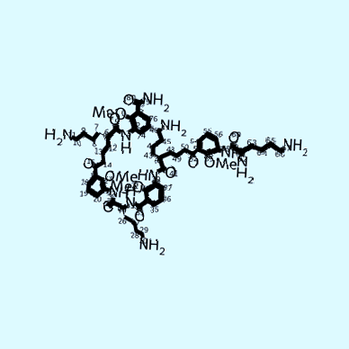 COc1c(NC(=O)[C@@H](CCCCN)CCCC(=O)c2cccc(NC(=O)[C@@H](CCCCN)NC(=O)c3cccc(NC(=O)[C@@H](CCCCN)CCCC(=O)c4cccc(NC(=O)[C@H](N)CCCCN)c4OC)c3OC)c2OC)cccc1C(N)=O